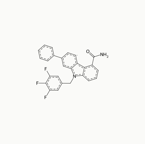 NC(=O)c1cccc2c1c1[c]cc(-c3ccccc3)cc1n2Cc1cc(F)c(F)c(F)c1